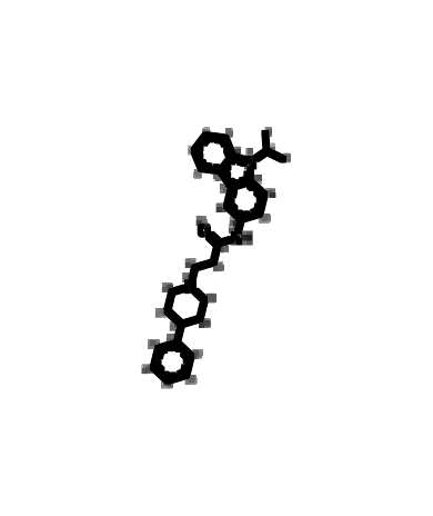 CC(C)n1c2ccccc2c2cc(NC(=O)CCN3CCC(c4ccccc4)CC3)ccc21